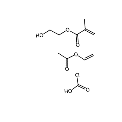 C=C(C)C(=O)OCCO.C=COC(C)=O.O=C(O)Cl